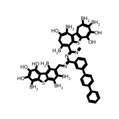 BC1=C(B)C(O)=C(O)c2sc3c(c2C1)C(B)=C(O)CC(B)=C3/C(N=C)=N/C(=N\Cc1c(B)c(B)c2sc3c(B)c(O)c(O)c(O)c3c2c1B)c1cccc(-c2ccc(-c3ccccc3)cc2)c1